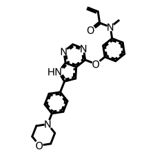 C=CC(=O)N(C)c1cccc(Oc2ncnc3[nH]c(-c4ccc(N5CCOCC5)cc4)cc23)c1